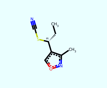 CC[C@@H](SC#N)c1conc1C